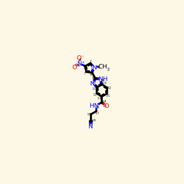 Cn1cc([N+](=O)[O-])cc1-c1nc2cc(C(=O)NCCC#N)ccc2[nH]1